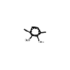 Cc1ccc(C)c(OCC(C)C)c1OCC(C)C